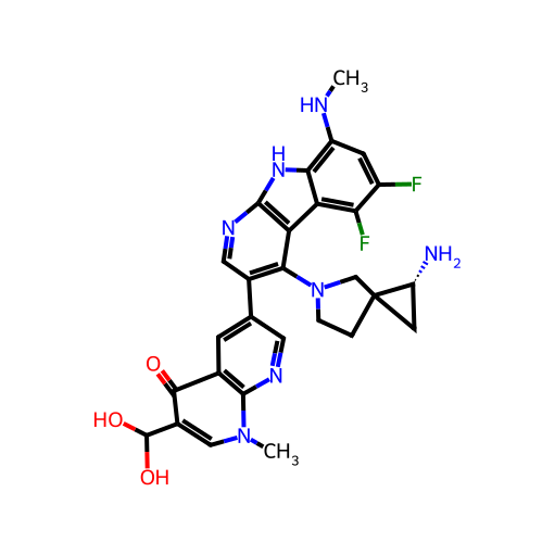 CNc1cc(F)c(F)c2c1[nH]c1ncc(-c3cnc4c(c3)c(=O)c(C(O)O)cn4C)c(N3CCC4(C[C@H]4N)C3)c12